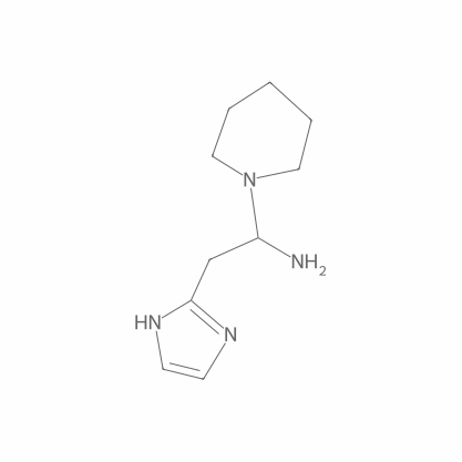 NC(Cc1ncc[nH]1)N1CCCCC1